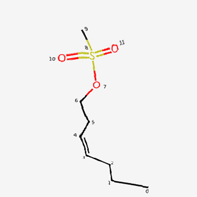 CCC/C=C\CCOS(C)(=O)=O